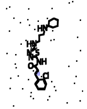 O=C(/C=C/c1ccccc1Cl)Nc1nnc(NCCCNC2CCCCC2)s1